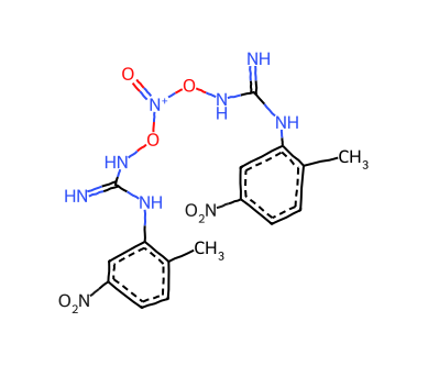 Cc1ccc([N+](=O)[O-])cc1NC(=N)NO[N+](=O)ONC(=N)Nc1cc([N+](=O)[O-])ccc1C